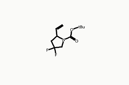 C=CC1CC(F)(F)CN1C(=O)OC(C)(C)C